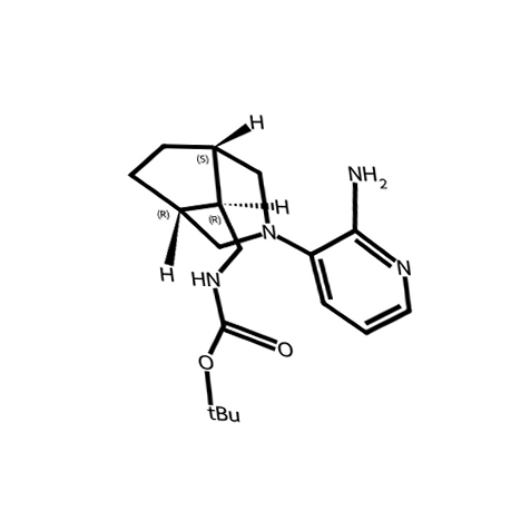 CC(C)(C)OC(=O)NC[C@@H]1[C@@H]2CC[C@H]1CN(c1cccnc1N)C2